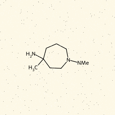 CNN1CCCC(C)(N)CC1